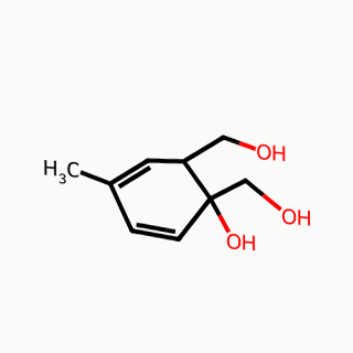 CC1=CC(CO)C(O)(CO)C=C1